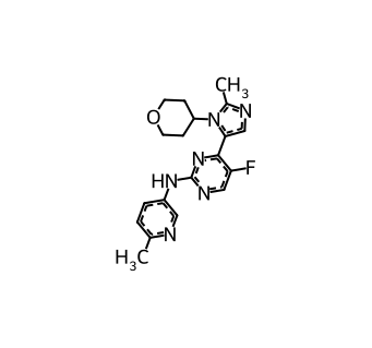 Cc1ccc(Nc2ncc(F)c(-c3cnc(C)n3C3CCOCC3)n2)cn1